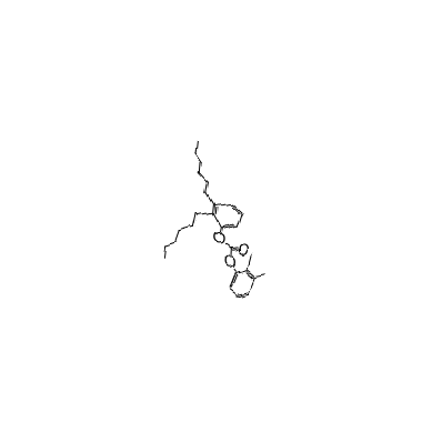 CCCCCCc1cccc(OC(=O)Oc2cccc(C)c2C)c1CCCCCC